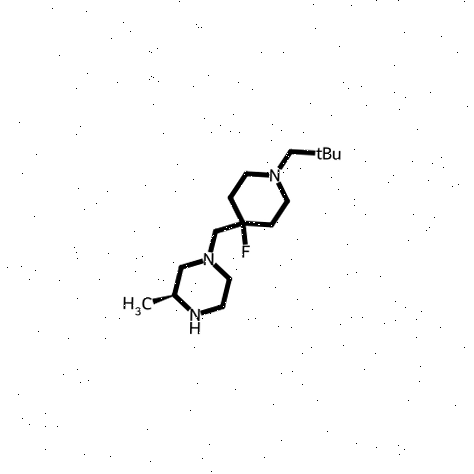 C[C@H]1CN(CC2(F)CCN(CC(C)(C)C)CC2)CCN1